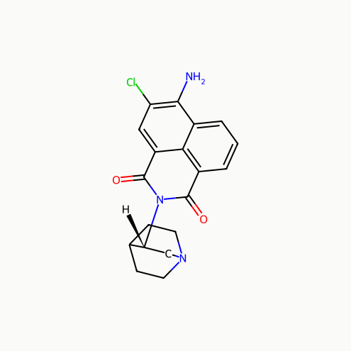 Nc1c(Cl)cc2c3c(cccc13)C(=O)N([C@@H]1CN3CCC1CC3)C2=O